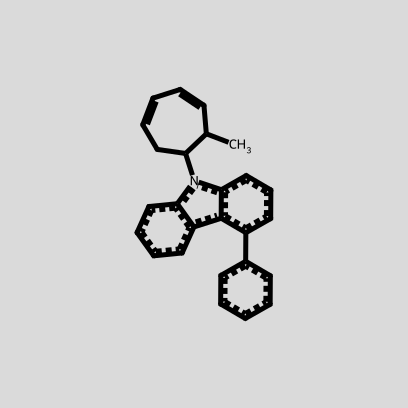 CC1C=CC=CCC1n1c2ccccc2c2c(-c3ccccc3)cccc21